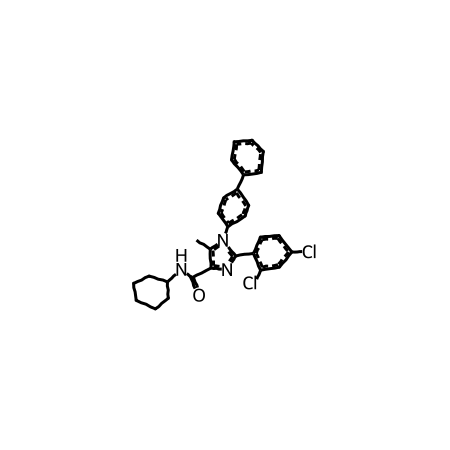 Cc1c(C(=O)NC2CCCCC2)nc(-c2ccc(Cl)cc2Cl)n1-c1ccc(-c2ccccc2)cc1